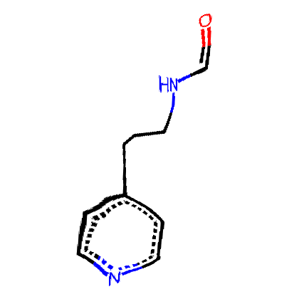 O=CNCCc1ccncc1